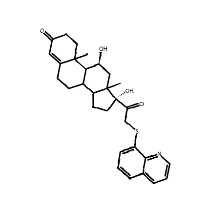 CC12CCC(=O)C=C1CCC1C2[C@@H](O)CC2(C)C1CC[C@]2(O)C(=O)CSc1cccc2cccnc12